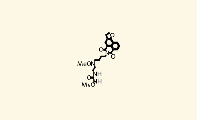 CONC(=O)NCCN(CCCCN1C(=O)c2cccc3c2c(cc2ccoc23)C1=O)OC